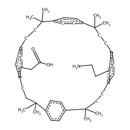 CC1(C)CCc2ccc(c(CCN)c2)CCC(C)(C)c2ccc(cc2)C(C)(C)CCc2ccc(cc2CC(=O)O)CCC(C)(C)c2ccc1cc2